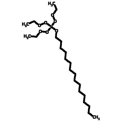 CCCCCCCCCCCCCCCCO[Si](OOCC)(OOCC)OOCC